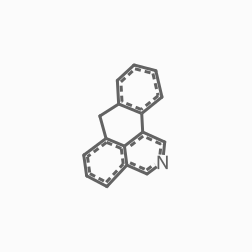 c1ccc2c(c1)Cc1cccc3cncc-2c13